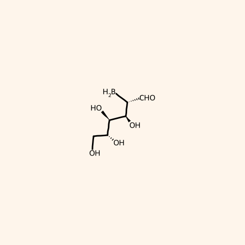 B[C@H](C=O)[C@@H](O)[C@H](O)[C@H](O)CO